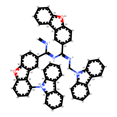 C=N/C(=N\C(=N/Cn1c2ccccc2c2ccccc21)c1ccc2oc3ccccc3c2c1)c1ccc2oc3cccc(-n4c5ccccc5c5ccccc54)c3c2c1